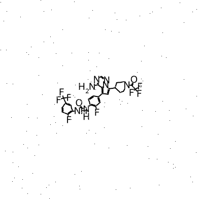 Nc1ncnn2c(C3CCN(C(=O)C(F)(F)F)CC3)cc(-c3ccc(NC(=O)Nc4cc(C(F)(F)F)ccc4F)c(F)c3)c12